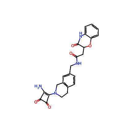 Nc1c(N2CCc3ccc(CNC(=O)CC4Oc5ccccc5NC4=O)cc3C2)c(=O)c1=O